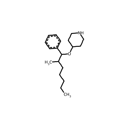 CCCCCC(C)C(OC1CCNCC1)c1ccccc1